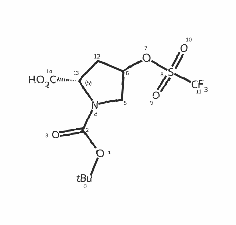 CC(C)(C)OC(=O)N1CC(OS(=O)(=O)C(F)(F)F)C[C@H]1C(=O)O